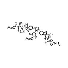 COC(=O)N[C@H](C(=O)N1CCC[C@H]1c1nc2cc([C@H]3CC[C@H](c4ccc5[nH]c([C@@H]6CCCN6C(=O)[C@@H](OC(N)=O)C(C)C)nc5c4)N3c3cc(F)c(OC)c(F)c3)ccc2[nH]1)C(C)C